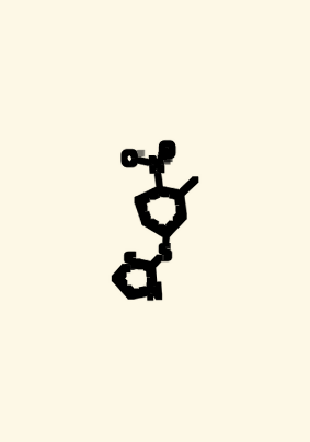 Cc1cc(Sc2nccs2)ccc1[N+](=O)[O-]